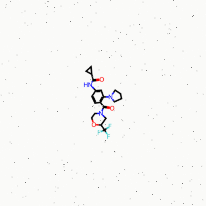 O=C(Nc1ccc(C(=O)N2CCOC(C(F)(F)F)C2)c(N2CCCC2)c1)C1CC1